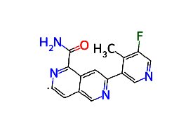 Cc1c(F)cncc1-c1cc2c(C(N)=O)n[c]cc2cn1